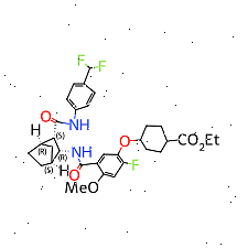 CCOC(=O)C1CCC(Oc2cc(C(=O)N[C@@H]3[C@H]4CC[C@H](C4)[C@@H]3C(=O)Nc3ccc(C(F)F)cc3)c(OC)cc2F)CC1